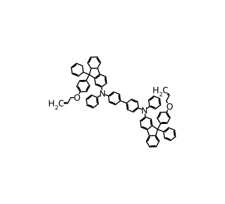 C=CCOc1ccc(C2(c3ccccc3)c3ccccc3-c3ccc(N(c4ccccc4)c4ccc(-c5ccc(N(c6ccccc6)c6ccc7c(c6)C(c6ccc(OCC=C)cc6)(C6C=CC=CC6)C6C=CC=CC76)cc5)cc4)cc32)cc1